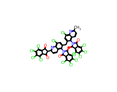 Cc1ccc2c(N3C(=O)c4c(Cl)c(Cl)c(Cl)c(Cl)c4C3=O)c(Cc3cc(Cl)c4nc(C5C(=O)c6c(Cl)c(Cl)c(Cl)c(Cl)c6C5=O)ccc4c3N3C(=O)c4c(Cl)c(Cl)c(Cl)c(Cl)c4C3=O)cc(Cl)c2n1